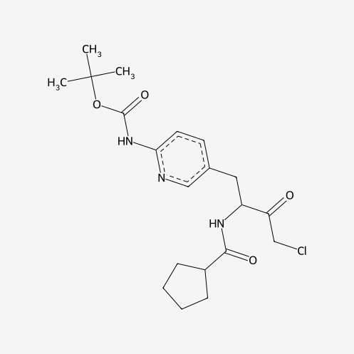 CC(C)(C)OC(=O)Nc1ccc(CC(NC(=O)C2CCCC2)C(=O)CCl)cn1